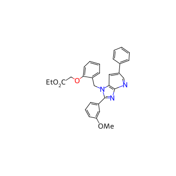 CCOC(=O)COc1ccccc1Cn1c(-c2cccc(OC)c2)nc2ncc(-c3ccccc3)cc21